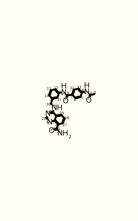 CC(=O)Nc1ccc(C(=O)Nc2cccc(CNc3ncnc4c(C(N)=O)cccc34)c2)cc1